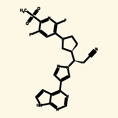 CS(=O)(=O)c1nc(F)c(N2CC[C@H]([C@H](CC#N)n3cc(-c4ncnc5[nH]ccc45)cn3)C2)cc1F